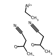 CC([O-])CC#N.CC([O-])CC#N.C[CH2][Al+2]